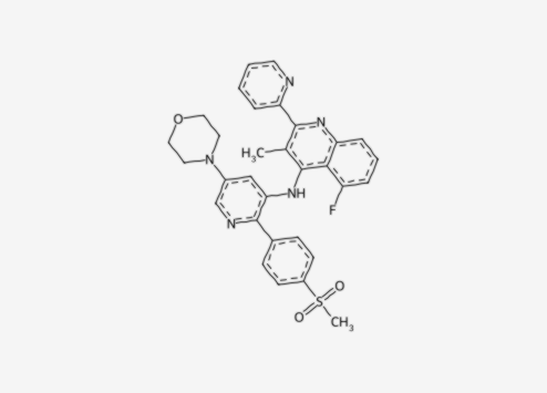 Cc1c(-c2ccccn2)nc2cccc(F)c2c1Nc1cc(N2CCOCC2)cnc1-c1ccc(S(C)(=O)=O)cc1